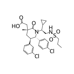 CCCS(=O)(=O)NC[C@H](C1CC1)N1C(=O)[C@@](C)(CC(=O)O)C[C@H](c2cccc(Cl)c2)[C@H]1c1ccc(Cl)cc1